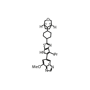 COc1cc(-c2[nH]c3sc(C4CCC(C5[C@@H]6CC[C@H]5COC6)CC4)nc3c2C(C)C)cn2ncnc12